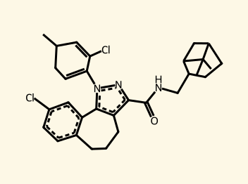 CC1C=C(Cl)C(n2nc(C(=O)NCC3CCC4CC3C4(C)C)c3c2-c2cc(Cl)ccc2CCC3)=CC1